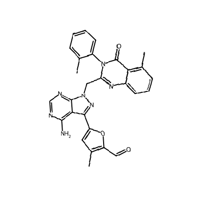 Cc1ccccc1-n1c(Cn2nc(-c3cc(C)c(C=O)o3)c3c(N)ncnc32)nc2cccc(C)c2c1=O